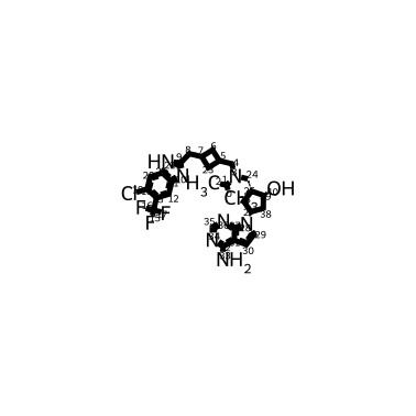 CC(C)N(CC1CC(Cc2nc3cc(C(F)(F)F)c(Cl)cc3[nH]2)C1)C[C@H]1C[C@@H](n2ccc3c(N)ncnc32)C[C@@H]1O